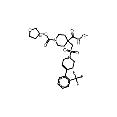 O=C(O[C@H]1CCOC1)N1CCC(CS(=O)(=O)N2CC=C(c3ccccc3C(F)(F)F)CC2)(C(=O)NO)CC1